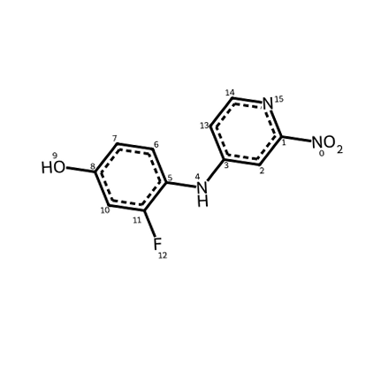 O=[N+]([O-])c1cc(Nc2ccc(O)cc2F)ccn1